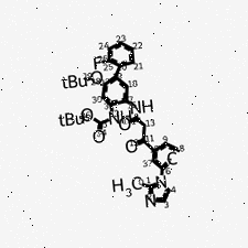 Cc1nccn1-c1cccc(C(=O)CC(=O)Nc2cc(-c3ccccc3F)c(OC(C)(C)C)cc2NC(=O)OC(C)(C)C)c1